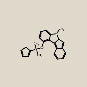 CN1c2ccc[c]([Zr][Si](C)(C)C3=CC=CC3)c2C2=c3ccccc3=CC21